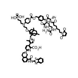 Cc1c(-c2ccc(N3CCc4cccc(C(=O)Nc5nc6ccccc6s5)c4C3)nc2C(=O)O)cnn1CC12CC3(C)CC(C)(C1)CC(OCCN(CCCP(=O)(O)O)C1CCN(C(=O)OCc4ccc(N(C(=O)[C@@H](NC(=O)CCCCCN5C(=O)C=CC5=O)C(C)C)[C@@H](CCCNC(N)=O)C(N)=O)cc4)CC1)(C3)C2